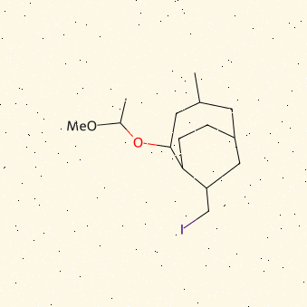 COC(C)OC1CC(C)CC2CCC1C(CI)C2